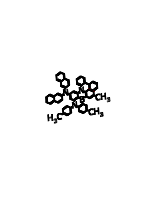 Cc1ccc(N2c3ccc(C)cc3B3c4cc(C)ccc4N(c4ccccc4-c4ccccc4)c4cc(N(c5ccc6ccccc6c5)c5ccc6ccccc6c5)cc2c43)cc1